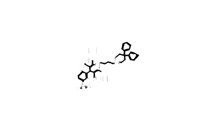 CC1=C(C(=O)O)C(c2cccc([N+](=O)[O-])c2)C(C(=O)O)=C(C)N1CCCCN1CCC(c2ccccc2)(c2ccccc2)CC1.Cl